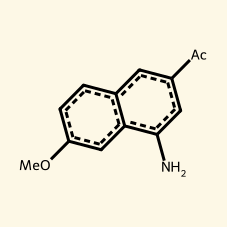 COc1ccc2cc(C(C)=O)cc(N)c2c1